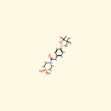 CC1(C)OB(c2ccc(CC(=O)N3CCS(O)(O)CC3)cc2)OC1(C)C